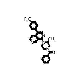 CC1CN(C(=O)c2ccccc2)CCN1c1nnc(-c2ccc(C(F)(F)F)cc2)c2ccncc12